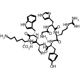 CC(C)C[C@H](NC(=O)[C@H](Cc1ccc(O)cc1)NC(=O)[C@H](CCCNC(=N)N)NC(=O)[C@H](Cc1c[nH]cn1)NC(=O)CN)C(=O)N[C@@H](Cc1c[nH]c2ccccc12)C(=O)N[C@@H](CCCCN)C(=O)O